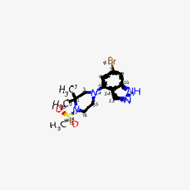 CC1(C)CN(c2cc(Br)cc3[nH]ncc23)CCN1S(C)(=O)=O